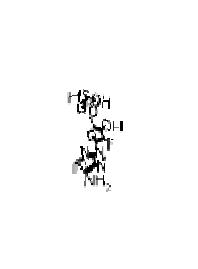 Nc1ncnc2c1ncn2[C@@H]1O[C@H](COP(=O)(O)S)[C@@H](O)[C@@H]1F